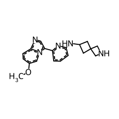 COc1ccc2ncc(-c3cccc(NC4CC5(CNC5)C4)n3)n2c1